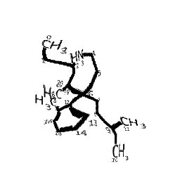 CCC1NCCC(CCC(C)C)(c2ccccc2C)C1C